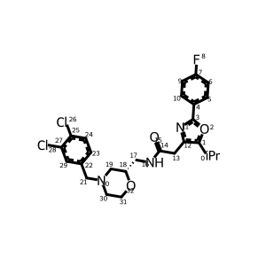 CC(C)c1oc(-c2ccc(F)cc2)nc1CC(=O)NC[C@H]1CN(Cc2ccc(Cl)c(Cl)c2)CCO1